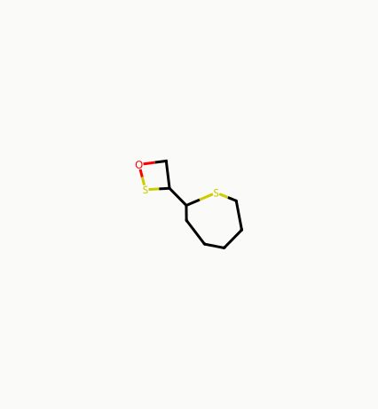 C1CCSC(C2COS2)CC1